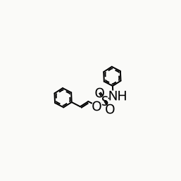 O=S(=O)(Nc1ccccc1)OC=Cc1ccccc1